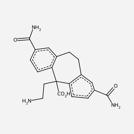 NCCC1(C(=O)O)c2ccc(C(N)=O)cc2CCc2cc(C(N)=O)ccc21